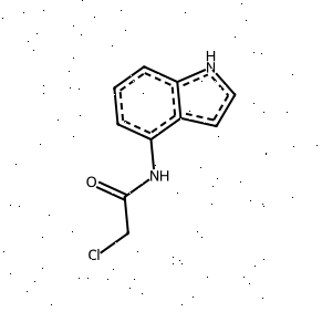 O=C(CCl)Nc1cccc2[nH]ccc12